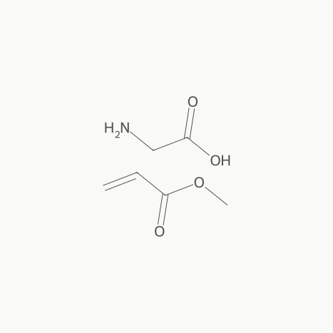 C=CC(=O)OC.NCC(=O)O